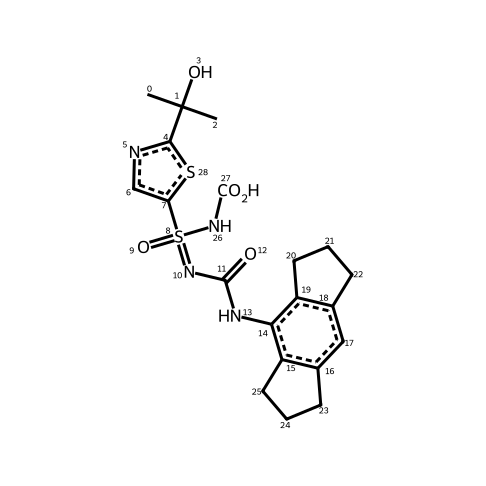 CC(C)(O)c1ncc(S(=O)(=NC(=O)Nc2c3c(cc4c2CCC4)CCC3)NC(=O)O)s1